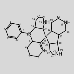 c1ccc(B2C3CCCN=C3S3(C4CCNCC4C4CNCCC43)C3NCCCC23)cc1